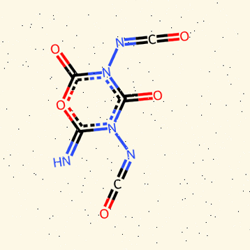 N=c1oc(=O)n(N=C=O)c(=O)n1N=C=O